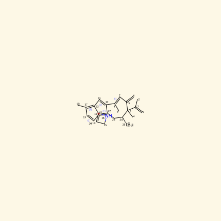 C=C(C)C1(C)C(=C)/C=C(C)/C2=C/C(C3=CCN3)=C(C)/C=C\C=C\2CC1C(C)(C)C